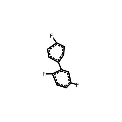 Fc1[c]cc(F)c(-c2ccc(F)cc2)c1